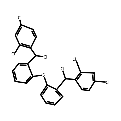 Clc1ccc(C(Cl)c2ccccc2Sc2ccccc2C(Cl)c2ccc(Cl)cc2Cl)c(Cl)c1